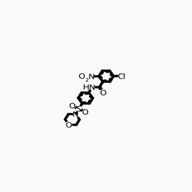 O=C(Nc1ccc(S(=O)(=O)N2CCOCC2)cc1)c1cc(Cl)ccc1[N+](=O)[O-]